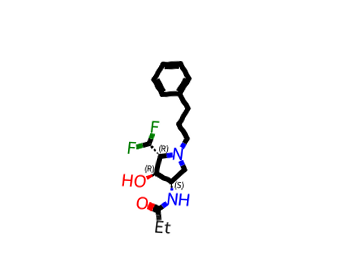 CCC(=O)N[C@H]1CN(CCCc2ccccc2)[C@@H](C(F)F)[C@@H]1O